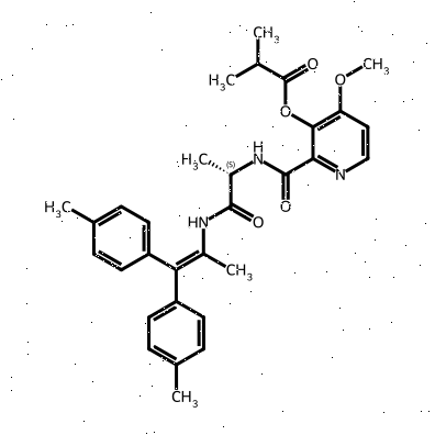 COc1ccnc(C(=O)N[C@@H](C)C(=O)NC(C)=C(c2ccc(C)cc2)c2ccc(C)cc2)c1OC(=O)C(C)C